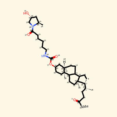 CNC(=O)CC[C@@H](C)[C@H]1CCC2C3CC[C@@H]4C[C@H](OC(=O)NCCCCCC(=O)N5C[C@H](O)C[C@H]5C)CC[C@]4(C)C3CC[C@@]21C